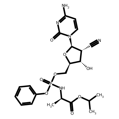 CC(C)OC(=O)[C@@H](C)NP(=O)(OC[C@H]1O[C@@H](n2ccc(N)nc2=O)[C@H](C#N)[C@@H]1O)Oc1ccccc1